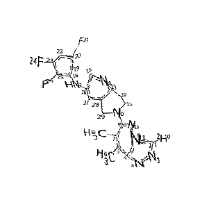 [2H]c1nnc2c(C)c(C)c(N3CCc4ncc(Nc5cc(F)cc(F)c5F)cc4C3)nn12